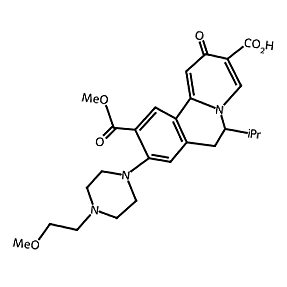 COCCN1CCN(c2cc3c(cc2C(=O)OC)-c2cc(=O)c(C(=O)O)cn2C(C(C)C)C3)CC1